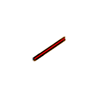 S=S=S=S=S=S=S=S=S=S=S=S=S=S=S=S=S=S=S=S=S=S=S=S=S=S=S=S=S=S=S=S=S=S=S=S=S=S=S=S=S=S=S=S=S=S=S=S=S=S=S=S=S=S=S=S=S=S=S=S=S=S=S=S=S=S=S=S=S=S=S=S=S=S=S=S=S=S=S=S=S=S=S=S=S=S=S=S=S=S=S=S=S=S=S=S=S=S=S=S=S=S=S=S=S=S=S=S=S=S=S=S=S=S=S=S=S=S=S=S=S=S=S=S=S=S=S=S=S=S